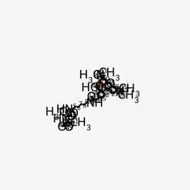 C[C@@H](NC(=O)CCCCCNC(=O)Cc1ccc(-c2c3ccc(=[N+](C)C)cc-3oc3cc(N(C)C)ccc23)c(C(=O)O)c1)C(=O)N[C@@H]1C(=O)O[C@@H]1C